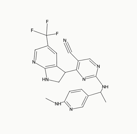 CNc1ccc(C(C)Nc2ncc(C#N)c(C3CNc4ncc(C(F)(F)F)cc43)n2)cn1